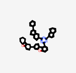 C1=CC(c2ccc3c(c2)oc2cccc(-c4nc(-c5ccc6ccccc6c5)nc(-c5ccc6ccc(-c7ccccc7)cc6c5)n4)c23)Cc2c1oc1c2CCCC1